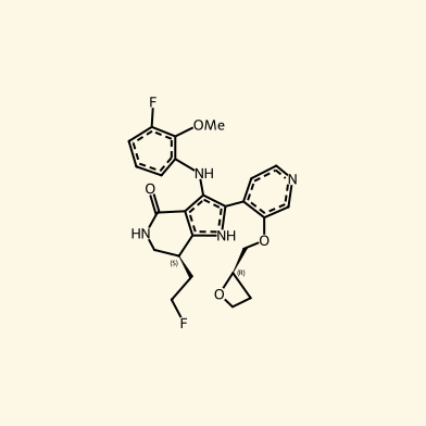 COc1c(F)cccc1Nc1c(-c2ccncc2OC[C@H]2CCO2)[nH]c2c1C(=O)NC[C@@H]2CCF